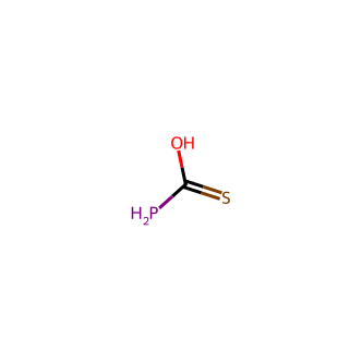 OC(P)=S